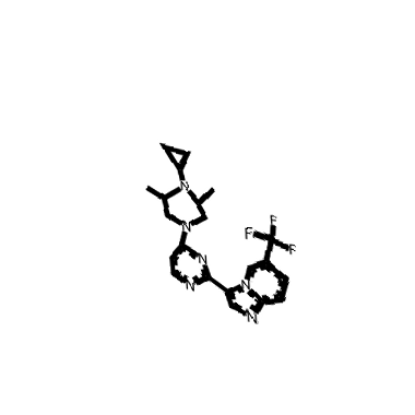 CC1CN(c2ccnc(-c3cnc4ccc(C(F)(F)F)cn34)n2)CC(C)N1C1CC1